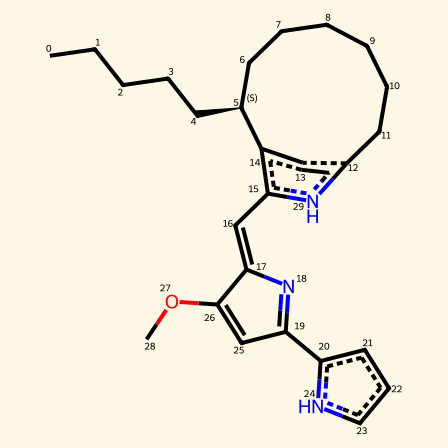 CCCCC[C@H]1CCCCCCc2cc1c(C=C1N=C(c3ccc[nH]3)C=C1OC)[nH]2